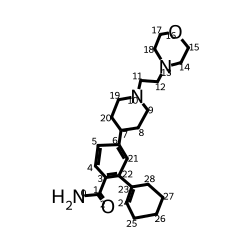 NC(=O)c1ccc(C2CCN(CCN3CCOCC3)CC2)cc1C1=CCCCC1